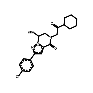 CCCCC1CN(CC(=O)C2CCCCC2)C(=O)c2cc(-c3ccc(Cl)cc3)nn21